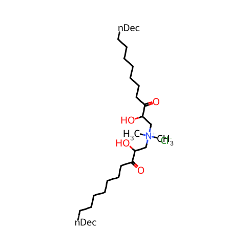 CCCCCCCCCCCCCCCCCC(=O)C(O)C[N+](C)(C)CC(O)C(=O)CCCCCCCCCCCCCCCCC.[Cl-]